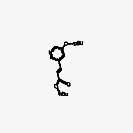 CCCCOC(=O)/C=C/c1cncc(OCCCC)c1